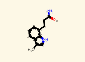 Cc1c[nH]c2c(CCC(N)=O)cccc12